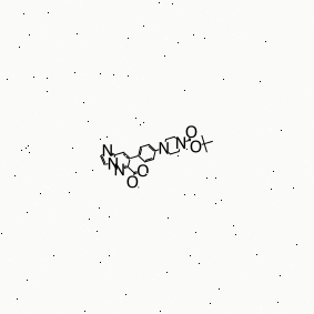 COC(=O)c1nn2ccnc2cc1-c1ccc(N2CCN(C(=O)OC(C)(C)C)CC2)cc1